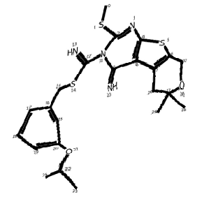 CSc1nc2sc3c(c2c(=N)n1C(=N)SCc1cccc(OC(C)C)c1)CC(C)(C)OC3